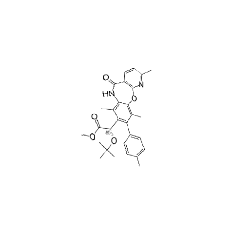 COC(=O)[C@@H](OC(C)(C)C)c1c(C)c2c(c(C)c1-c1ccc(C)cc1)Oc1nc(C)ccc1C(=O)N2